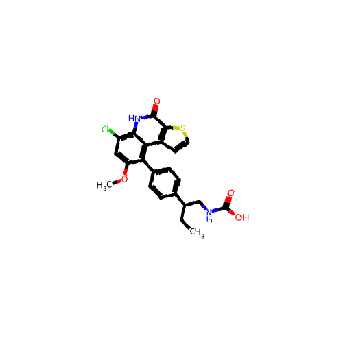 CCC(CNC(=O)O)c1ccc(-c2c(OC)cc(Cl)c3[nH]c(=O)c4sccc4c23)cc1